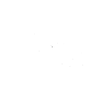 COC(=O)C(=CC=CN(C(C)=O)c1ccccc1)S(C)(=O)=O